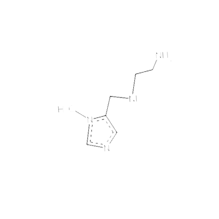 Cn1cncc1CNCCN